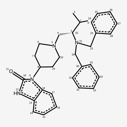 CC(C)[C@@H](CN1CCC(n2c(=O)[nH]c3ccccc32)CC1)N(Cc1ccccc1)Cc1ccccc1